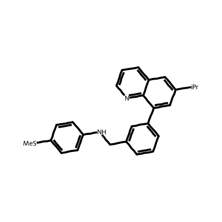 CSc1ccc(NCc2cccc(-c3cc(C(C)C)cc4cccnc34)c2)cc1